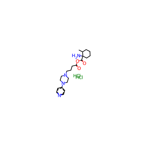 CC1CCCCC1(N)C(=O)OC(=O)CCCN1CCN(c2ccncc2)CC1.Cl.Cl